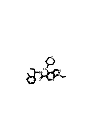 CCC(NC(=O)c1cnc2c(cnn2CC)c1NC1CCOCC1)c1ccccc1C